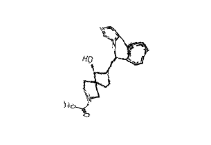 O=C(O)N1CC2(C[C@H]([C@@H]3c4ccccc4-c4cncn43)[C@@H]2O)C1